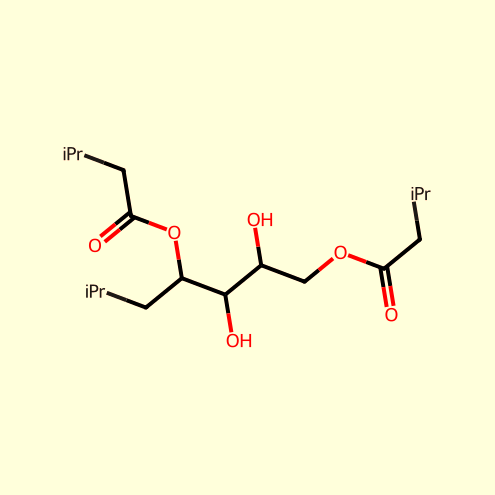 CC(C)CC(=O)OCC(O)C(O)C(CC(C)C)OC(=O)CC(C)C